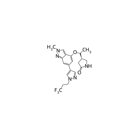 CC(Oc1cc(-c2cnn(CCC(F)(F)F)c2)cc2nn(C)cc12)[C@H]1CNC(=O)C1